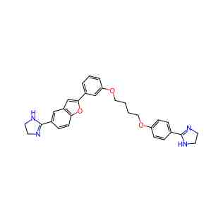 c1cc(OCCCCOc2ccc(C3=NCCN3)cc2)cc(-c2cc3cc(C4=NCCN4)ccc3o2)c1